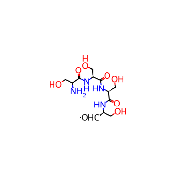 N[C@@H](CO)C(=O)N[C@@H](CO)C(=O)N[C@@H](CO)C(=O)N[C@H]([C]=O)CO